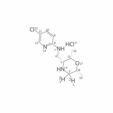 Cl.[2H]C1([2H])N[C@H](CNc2ccc(Cl)cn2)[C@H](C)O[C@@H]1C